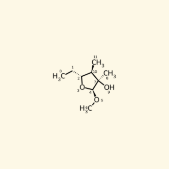 CC[C@H]1O[C@H](OC)[C@](C)(O)[C@@H]1C